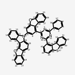 c1ccc(-c2nc(-c3cc(-n4c5ccccc5c5c6oc7ccccc7c6ccc54)cc4oc5ccccc5c34)nc(-c3cccc4sc5ccccc5c34)n2)cc1